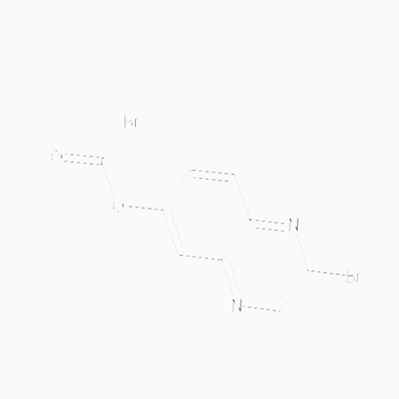 O=C(Br)Oc1ccc2nc(Br)cnc2c1